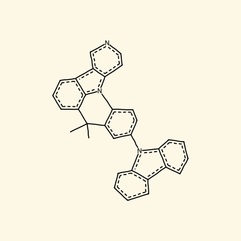 CC1(C)c2cc(-n3c4ccccc4c4ccccc43)ccc2-n2c3ccncc3c3cccc1c32